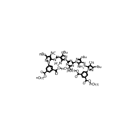 [C-]#[N+]c1c(CCCC)nn(-c2cc(C(=O)OCCCCCCCC)cc(C(=O)OCCCCCCCC)c2)c1N=Nc1c(CCCC)nn(-c2nc(O)nc(-n3nc(CCCC)c(N=Nc4c(C#N)c(CCCC)nn4-c4cc(C(=O)OCCCCCCCC)cc(C(=O)OCCCCCCCC)c4)c3N)n2)c1N